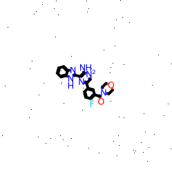 Nc1ncc(-c2ccc(F)c(C(=O)N3CCOCC3)c2)nc1-c1nc2ccccc2[nH]1